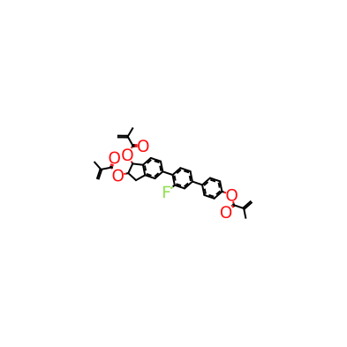 C=C(C)C(=O)Oc1ccc(-c2ccc(-c3ccc4c(c3)CC(OC(=O)C(=C)C)C4OC(=O)C(=C)C)c(F)c2)cc1